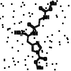 CC(C)(C)OC(=O)NCCC(=O)N[C@@H](Cc1cn(C(=O)OC(C)(C)C)cn1)C(=O)O